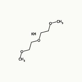 COCCOCCOC.[KH]